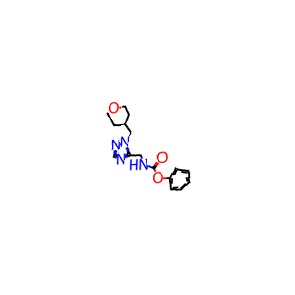 O=C(NCc1ncnn1CC1CCOCC1)Oc1ccccc1